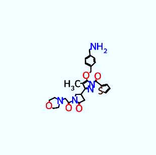 Cc1c(C2CC(=O)N(C(=O)CN3CCOCC3)C2)nn(C(=O)c2cccs2)c1OCc1ccc(CN)cc1